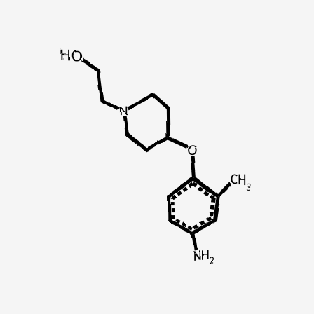 Cc1cc(N)ccc1OC1CCN(CCO)CC1